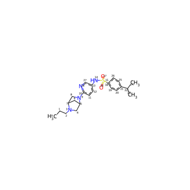 CCCN1CC2CC1CN2c1ccc(NS(=O)(=O)c2ccc(C(C)C)cc2)cn1